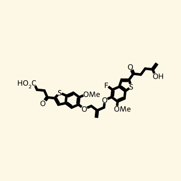 C=C(O)CCC(=O)c1cc2c(F)c(OCC(=C)COc3cc4cc(C(=O)CCC(=O)O)sc4cc3OC)c(OC)cc2s1